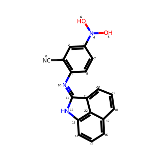 N#Cc1cc(N(O)O)ccc1/N=C1/Nc2cccc3cccc1c23